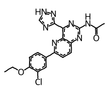 CCOc1ccc(-c2ccc3nc(NC(C)=O)nc(-c4nc[nH]n4)c3n2)cc1Cl